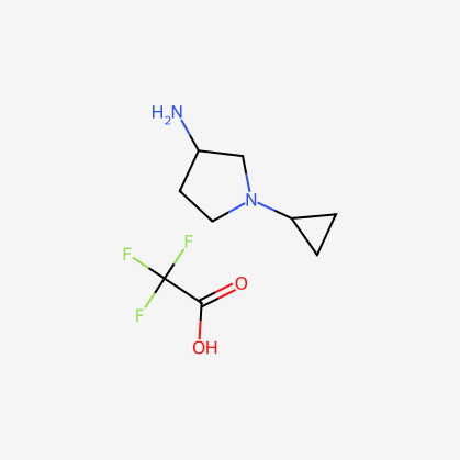 NC1CCN(C2CC2)C1.O=C(O)C(F)(F)F